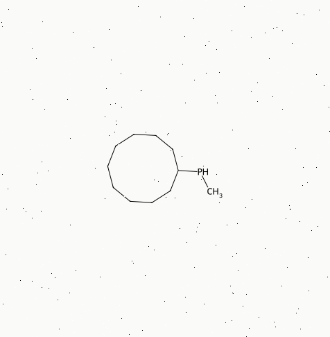 CPC1CCCCCCCCC1